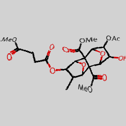 COC(=O)CCC(=O)OC1C(C)C2OC1C1(C(=O)OC)C3OC(C(O)C3OC(C)=O)C21C(=O)OC